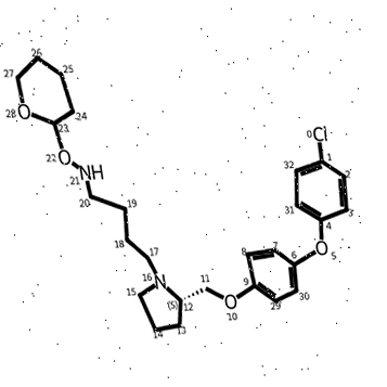 Clc1ccc(Oc2ccc(OC[C@@H]3CCCN3CCCCNOC3CCCCO3)cc2)cc1